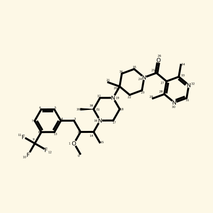 COC(Cc1cccc(C(F)(F)F)c1)C(C)N1CCN(C2(C)CCN(C(=O)c3c(C)ncnc3C)CC2)C[C@@H]1C